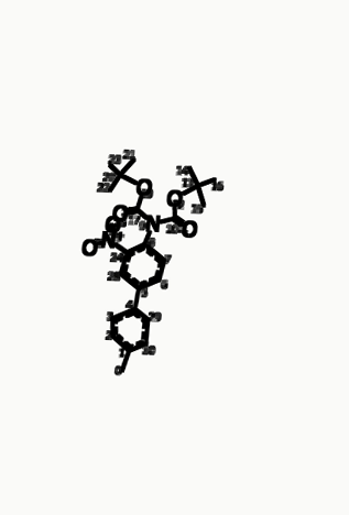 Cc1ccc(-c2ccc(N(C(=O)OC(C)(C)C)C(=O)OC(C)(C)C)c([N+](=O)[O-])c2)cc1